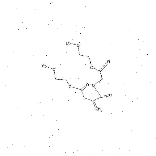 C=C(CC(=O)OCCOCC)C(=O)OCC(=O)OCCOCC